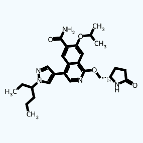 CCCC(CC)n1cc(-c2cnc(OC[C@@H]3CCC(=O)N3)c3cc(OC(C)C)c(C(N)=O)cc23)cn1